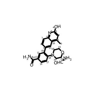 Cc1cc(O)nc2ccc(-c3cc(C(N)=O)ccc3N3CCOCC3)cc12.NC=O